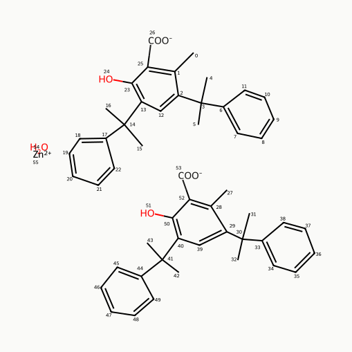 Cc1c(C(C)(C)c2ccccc2)cc(C(C)(C)c2ccccc2)c(O)c1C(=O)[O-].Cc1c(C(C)(C)c2ccccc2)cc(C(C)(C)c2ccccc2)c(O)c1C(=O)[O-].O.[Zn+2]